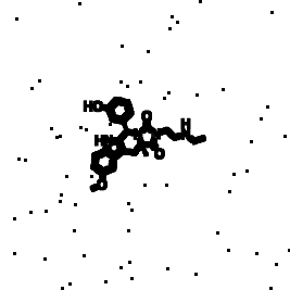 CCNCCN1C(=O)N2[C@H](c3cccc(O)c3)c3[nH]c4ccc(OC)cc4c3C[C@@]2(C)C1=O